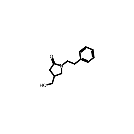 O=C1CC(CO)CN1CCc1ccccc1